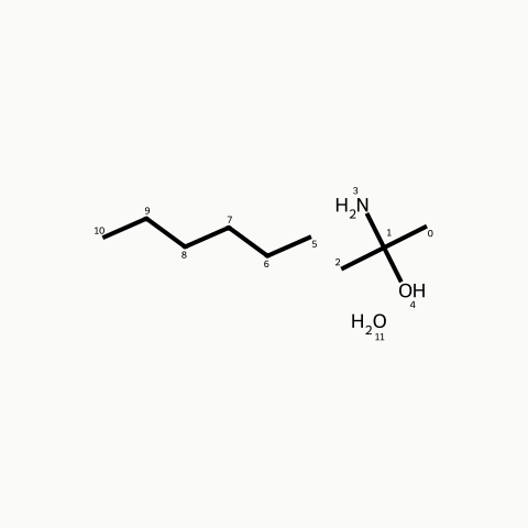 CC(C)(N)O.CCCCCC.O